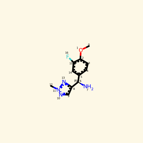 COc1ccc([C@@H](N)c2cnn(C)n2)cc1F